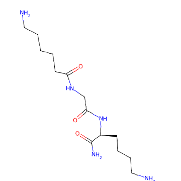 NCCCCCC(=O)NCC(=O)N[C@@H](CCCCN)C(N)=O